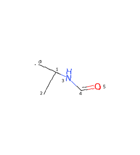 [CH2]C(C)NC=O